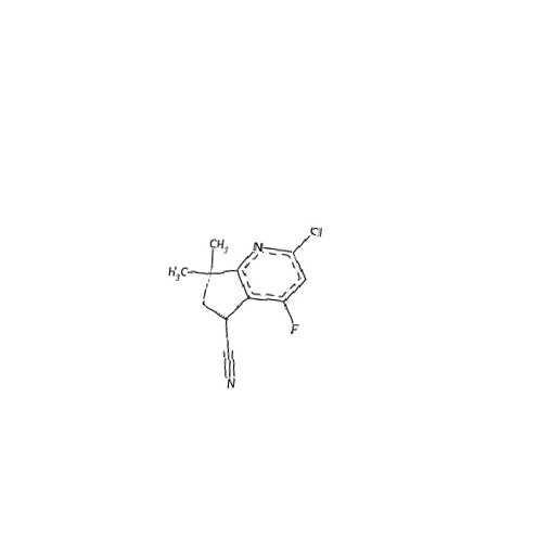 CC1(C)CC(C#N)c2c(F)cc(Cl)nc21